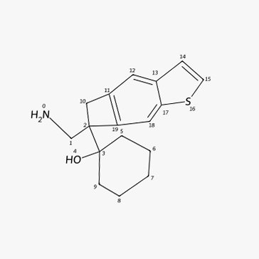 NCC1(C2(O)CCCCC2)Cc2cc3ccsc3cc21